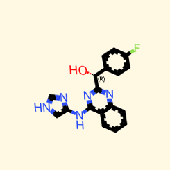 O[C@H](c1ccc(F)cc1)c1nc(Nc2c[nH]cn2)c2ccccc2n1